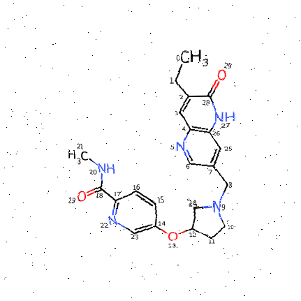 CCc1cc2ncc(CN3CCC(Oc4ccc(C(=O)NC)nc4)C3)cc2[nH]c1=O